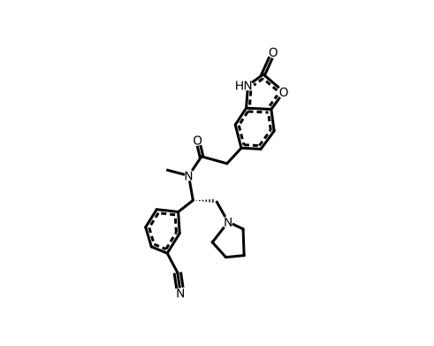 CN(C(=O)Cc1ccc2oc(=O)[nH]c2c1)[C@H](CN1CCCC1)c1cccc(C#N)c1